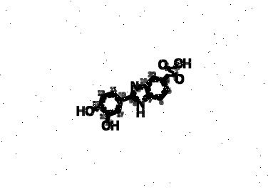 O=S(=O)(O)c1ccc2[nH]c(-c3ccc(O)c(O)c3)nc2c1